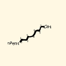 CCCCCCCCCCC[CH]O